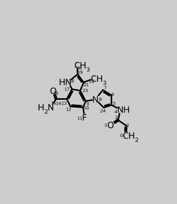 C=CC(=O)Nc1ccn(-c2c(F)cc(C(N)=O)c3[nH]c(C)c(C)c23)c1